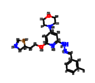 Cc1cccc(/C=N/Nc2cc(N3CCOCC3)cc(OCCC3CN=CS3)n2)c1